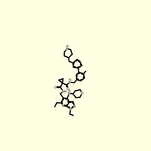 CCc1nc2c(cnn2CC)c(NC2CCOCC2)c1CNC(=O)C1(C(=O)NCc2ccc(C)c(-c3cccc(CC4CCNCC4)c3)c2)CC1